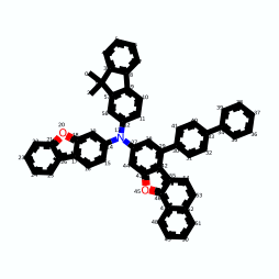 CC1(C)c2ccccc2-c2ccc(N(c3ccc4c(c3)oc3ccccc34)c3cc(-c4ccc(-c5ccccc5)cc4)c4c(c3)oc3c5ccccc5ccc34)cc21